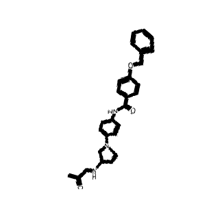 CC(=O)CNC1CCN(c2ccc(NC(=O)c3ccc(OCc4ccccc4)cc3)cc2)C1